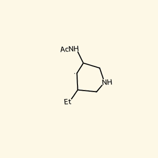 CCC1[CH]C(NC(C)=O)CNC1